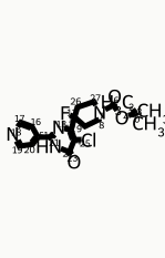 CC(C)(C)OC(=O)N1CCC(F)(c2nc(-c3ccncc3)[nH]c(=O)c2Cl)CC1